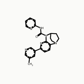 Cc1cncc(-c2ccc3c(n2)N(C(=O)Nc2ccccn2)C2CCN3CC2)c1